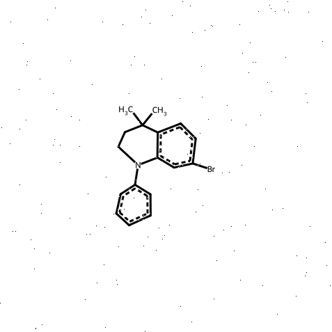 CC1(C)CCN(c2ccccc2)c2cc(Br)ccc21